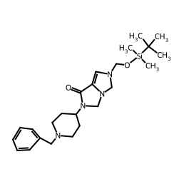 CC(C)(C)[Si](C)(C)OCN1C=C2C(=O)N(C3CCN(Cc4ccccc4)CC3)CN2C1